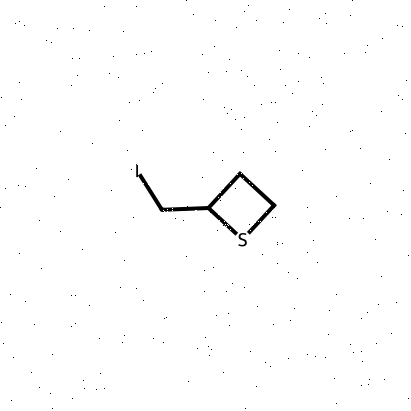 ICC1CCS1